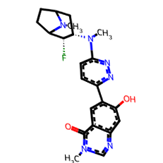 CN1C2CCC1[C@@H](F)[C@@H](N(C)c1ccc(-c3cc4c(=O)n(C)cnc4cc3O)nn1)C2